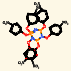 O=[N+]([O-])c1ccc(ON2P(Oc3ccc([N+](=O)[O-])cc3)N=P(Oc3ccc([N+](=O)[O-])cc3)(Oc3ccc([N+](=O)[O-])cc3)N(Oc3ccc([N+](=O)[O-])cc3)P2Oc2ccc([N+](=O)[O-])cc2)cc1